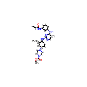 C=CC(=O)Nc1cccc(Nc2nc(Nc3ccc(N4CCN(C(=O)OC(C)(C)C)CC4)cc3OC)ncc2C)c1